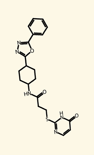 O=C(CCSc1nccc(=O)[nH]1)NC1CCC(c2nnc(-c3ccccc3)o2)CC1